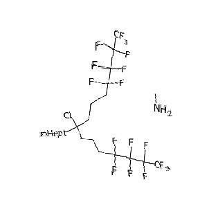 CCCCCCCC(Cl)(CCCC(F)(F)C(F)(F)C(F)(F)C(F)(F)F)CCCC(F)(F)C(F)(F)C(F)(F)C(F)(F)F.CN